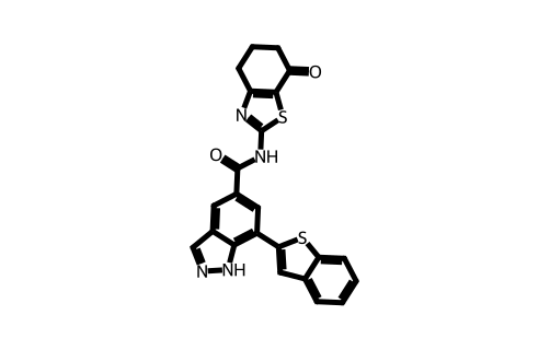 O=C(Nc1nc2c(s1)C(=O)CCC2)c1cc(-c2cc3ccccc3s2)c2[nH]ncc2c1